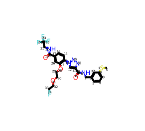 CSc1cccc(CNC(=O)c2cn(-c3ccc(C(=O)NCC(F)(F)F)cc3OCCOCCF)nn2)c1